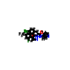 O=C(N[C@@H]1CN2CCC1CC2)[C@H](Cc1ccc(Br)cc1)NC(=O)C1(c2ccc(C(F)(F)F)cc2F)CC1